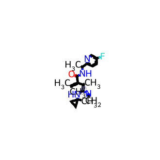 C=N/C(NC1(C)CC1)=C(\C)C(C(=O)NC(C)c1ccc(F)cn1)=C(C)C